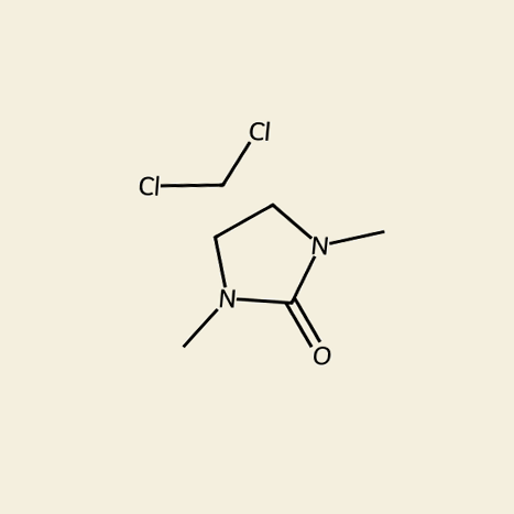 CN1CCN(C)C1=O.ClCCl